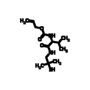 C=CCOC(=O)N[C@H](C(=O)NCC(C)(C)S)C(C)C